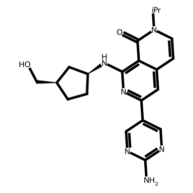 CC(C)n1ccc2cc(-c3cnc(N)nc3)nc(N[C@H]3CC[C@@H](CO)C3)c2c1=O